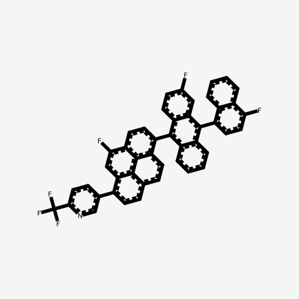 Fc1ccc2c(-c3ccc4c(F)cc5c(-c6ccc(C(F)(F)F)nc6)ccc6ccc3c4c65)c3ccccc3c(-c3ccc(F)c4ccccc34)c2c1